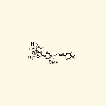 COc1cc(CCN([C@@H](C(N)=O)C(C)C)S(C)(=O)=O)ccc1OCC#Cc1ccc(Cl)cc1